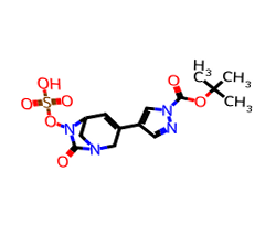 CC(C)(C)OC(=O)n1cc(C2=CC3CN(C2)C(=O)N3OS(=O)(=O)O)cn1